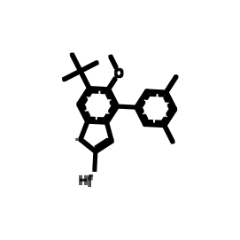 COc1c(C(C)(C)C)cc2c(c1-c1cc(C)cc(C)c1)C=C(C)[CH]2.[Hf]